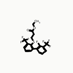 CCOC(=O)CCSc1c(-c2cccc(C(F)(F)F)c2F)cccc1C(F)(F)F